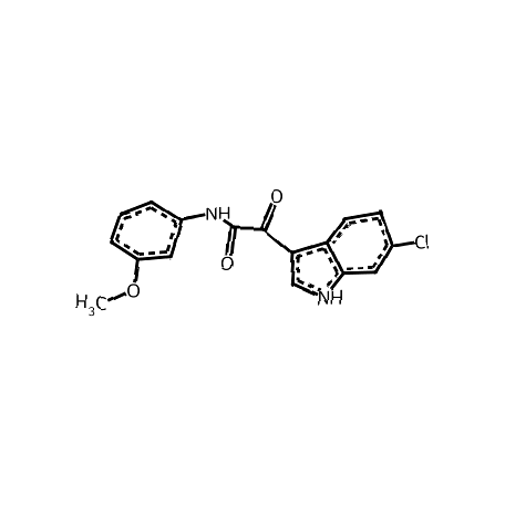 COc1cccc(NC(=O)C(=O)c2c[nH]c3cc(Cl)ccc23)c1